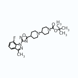 Cc1nn(-c2noc(C3CCN(C4CCN(C(=O)OC(C)(C)C)CC4)CC3)n2)c2c(F)cccc12